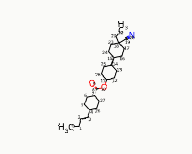 CCCC[C@H]1CC[C@H](C(=O)OC2CCC(C3CCC(C#N)(CC)CC3)CC2)CC1